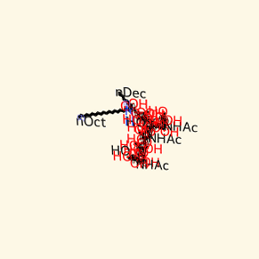 CCCCCCCC/C=C\CCCCCCCCCCCCCCCC(=O)N[C@@H](CO[C@@H]1OC(CO)[C@@H](O[C@@H]2OC(CO)[C@H](O[C@@H]3OC(CO)[C@H](O)[C@H](O[C@@H]4OC(CO)[C@H](O)[C@H](O[C@]5(C(=O)O)CC(O)[C@@H](NC(C)=O)C([C@H](O)[C@H](O)CO)O5)C4O)C3NC(C)=O)[C@H](O[C@]3(C(=O)O)CC(O)[C@@H](NC(C)=O)C([C@H](O)[C@H](O)CO)O3)C2O)[C@H](O)C1O)[C@H](O)/C=C/CCCCCCCCCCCCC